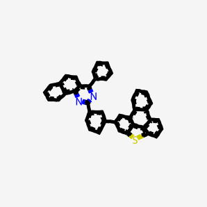 c1ccc(-c2nc(-c3cccc(-c4cc5sc6cccc7c8ccccc8c(c4)c5c67)c3)nc3c2ccc2ccccc23)cc1